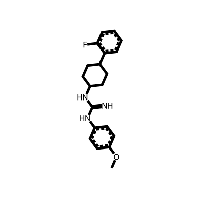 COc1ccc(NC(=N)NC2CCC(c3ccccc3F)CC2)cc1